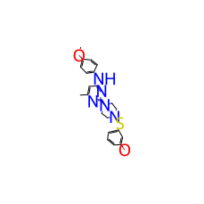 COc1ccc(Nc2cc(C)nc(N3CCN(Sc4cccc(OC)c4)CC3)n2)cc1